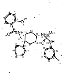 COc1ccccc1C(=O)NC[C@]1(c2ccccc2)CC[C@H](NS(=O)(=O)Nc2cccc(F)c2)CC1